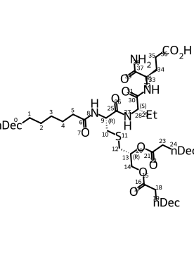 CCCCCCCCCCCCCCCC(=O)N[C@@H](CSC[C@@H](COC(=O)CCCCCCCCCCC)OC(=O)CCCCCCCCCCC)C(=O)N[C@@H](CC)C(=O)N[C@H](CCC(=O)O)C(N)=O